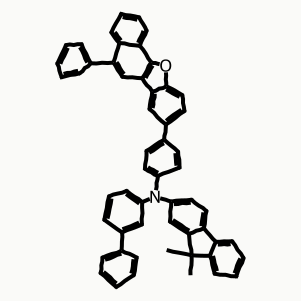 CC1(C)c2ccccc2-c2ccc(N(c3ccc(-c4ccc5oc6c7ccccc7c(-c7ccccc7)cc6c5c4)cc3)c3cccc(-c4ccccc4)c3)cc21